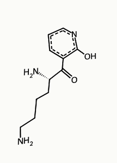 NCCCC[C@H](N)C(=O)c1cccnc1O